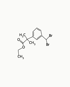 CCOC(=O)C(C)(C)c1cccc(C(Br)Br)c1